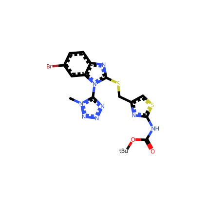 Cn1nnnc1-n1c(SCc2csc(NC(=O)OC(C)(C)C)n2)nc2ccc(Br)cc21